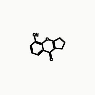 O=c1c2c(oc3c(O)cccc13)CCC2